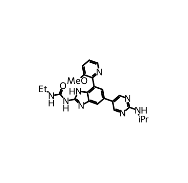 CCNC(=O)Nc1nc2cc(-c3cnc(NC(C)C)nc3)cc(-c3ncccc3OC)c2[nH]1